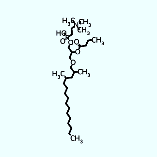 CCCCCCCCCCCCC(C)CC(C)COCC(COP(=O)(O)CC[N+](C)(C)C)OC(=O)CCC